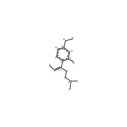 C/C=C(/CCN(C)C)c1ccc(CC)cc1C